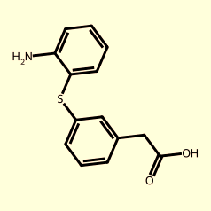 Nc1ccccc1Sc1cccc(CC(=O)O)c1